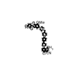 COc1cc(N2CCN(CC3CCN(c4ccc(C5CCN(c6ccc(Cl)c7c(C#N)cn(C)c67)CC5)cc4)CC3)CC2)cc2c1C(=O)N(C1CCC(=O)NC1=O)C2